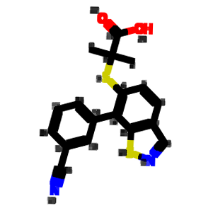 CC(C)(Sc1ccc2cnsc2c1-c1cccc(C#N)c1)C(=O)O